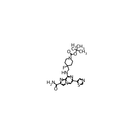 CC(C)(C)OC(=O)N1CCC(F)(CNc2nc(-c3cncs3)cn3cc(C(N)=O)nc23)CC1